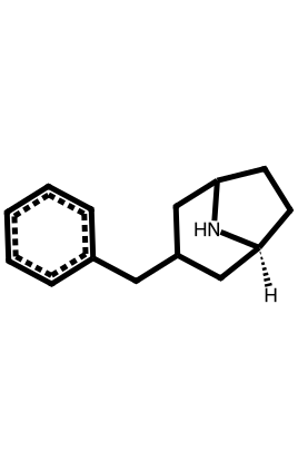 c1ccc(CC2CC3CC[C@@H](C2)N3)cc1